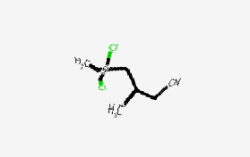 CC(CC#N)C[Si](C)(Cl)Cl